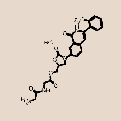 Cl.NCC(=O)NCC(=O)OCC1CN(c2ccc3cc(-c4ccccc4C(F)(F)F)[nH]c(=O)c3c2)C(=O)O1